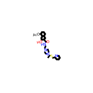 CC(=O)Oc1cccc2cc(C(=O)NCCN3CCN(C(C)SCc4ccccn4)CC3)c(O)cc12